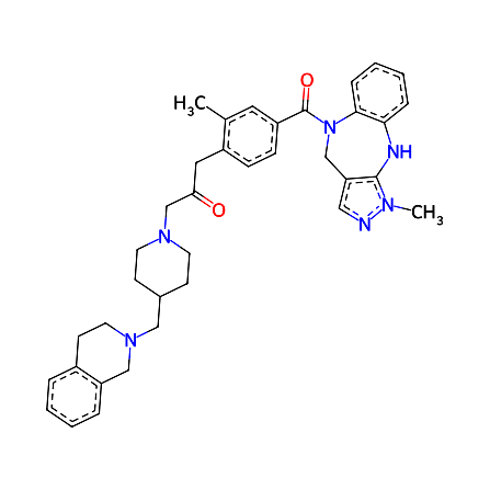 Cc1cc(C(=O)N2Cc3cnn(C)c3Nc3ccccc32)ccc1CC(=O)CN1CCC(CN2CCc3ccccc3C2)CC1